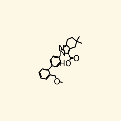 COCc1ccccc1-c1ccc(-n2nc3c(c2C(=O)O)CC(C)(C)CC3)cc1